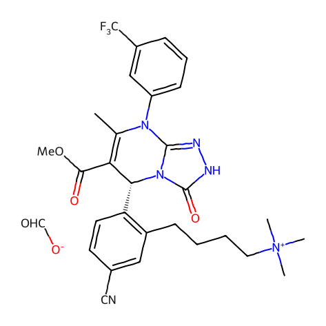 COC(=O)C1=C(C)N(c2cccc(C(F)(F)F)c2)c2n[nH]c(=O)n2[C@@H]1c1ccc(C#N)cc1CCCC[N+](C)(C)C.O=C[O-]